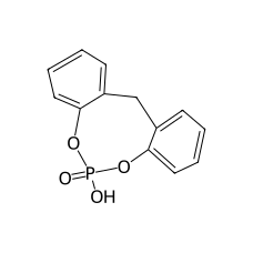 O=P1(O)Oc2ccccc2Cc2ccccc2O1